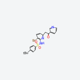 CC(C)(C)c1ccc(S(=O)(=O)Nc2nc(CC(=O)c3cccnc3)ccc2Br)cc1